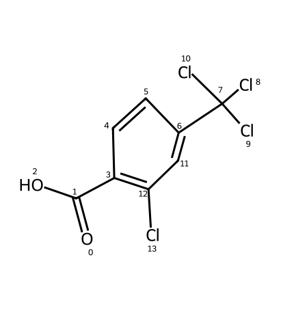 O=C(O)c1ccc(C(Cl)(Cl)Cl)cc1Cl